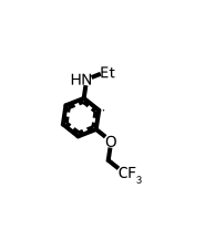 CCNc1[c]c(OCC(F)(F)F)ccc1